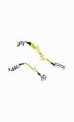 CC(C)SSC(C)C.CCCCSCCC